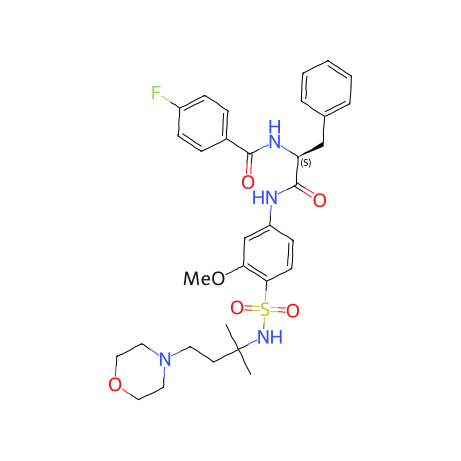 COc1cc(NC(=O)[C@H](Cc2ccccc2)NC(=O)c2ccc(F)cc2)ccc1S(=O)(=O)NC(C)(C)CCN1CCOCC1